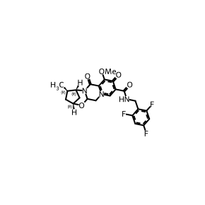 COc1c2n(cc(C(=O)NCc3c(F)cc(F)cc3F)c1=O)CC1O[C@@H]3C[C@@H](C)[C@@H](C3)N1C2=O